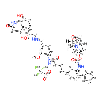 COc1cc(CNC[C@H](O)c2ccc(O)c3[nH]c(=O)ccc23)ccc1NC(=O)CCCc1ccc(-c2ccccc2)c(NC(=O)O[C@@H]2C[C@@H]3[C@H]4O[C@H]4[C@H](C2)[N+]3(C)C)c1.O=C([O-])C(F)(F)F